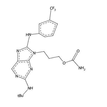 CC(C)(C)Nc1ncc2nc(Nc3cccc(C(F)(F)F)c3)n(CCCOC(N)=O)c2n1